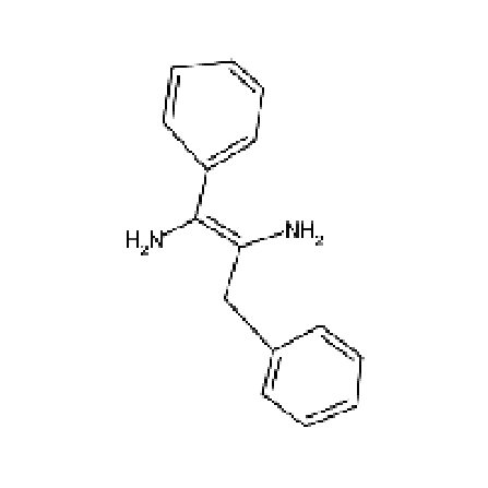 NC(Cc1ccccc1)=C(N)c1ccccc1